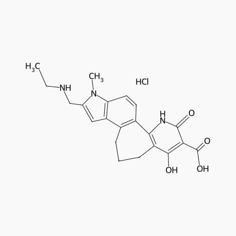 CCNCc1cc2c3c(ccc2n1C)-c1[nH]c(=O)c(C(=O)O)c(O)c1CCC3.Cl